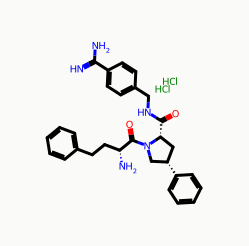 Cl.Cl.N=C(N)c1ccc(CNC(=O)[C@@H]2C[C@H](c3ccccc3)CN2C(=O)[C@H](N)CCc2ccccc2)cc1